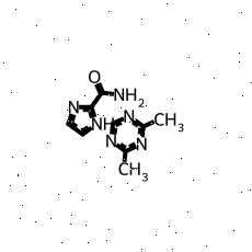 Cc1ncnc(C)n1.NC(=O)c1ncc[nH]1